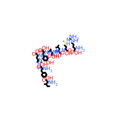 CC(C)C(N)C(=O)O.CC(C)CC(N)C(=O)O.CCC(C)C(N)C(=O)O.CSCCC(N)C(=O)O.N=C(N)NCCCC(N)C(=O)O.NC(Cc1c[nH]cn1)C(=O)O.NC(Cc1ccc(O)cc1)C(=O)O.NC(Cc1ccccc1)C(=O)O